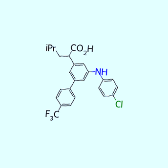 CC(C)CC(C(=O)O)c1cc(Nc2ccc(Cl)cc2)cc(-c2ccc(C(F)(F)F)cc2)c1